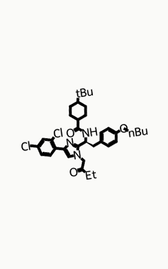 CCCCOc1ccc(C[C@H](NC(=O)C2CCC(C(C)(C)C)CC2)c2nc(-c3ccc(Cl)cc3Cl)cn2CC(=O)CC)cc1